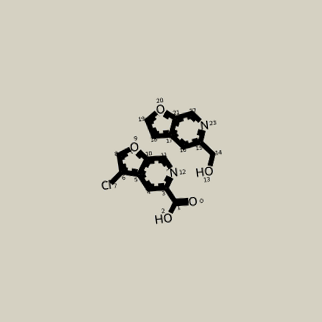 O=C(O)c1cc2c(Cl)coc2cn1.OCc1cc2ccoc2cn1